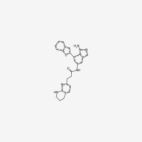 Nn1ncc2cc(NC(=O)CCc3ccc4c(n3)NCCC4)cc(-c3cc4ccccc4s3)c21